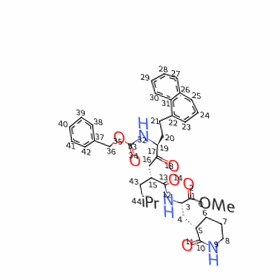 COC(=O)[C@H](C[C@@H]1CCCNC1=O)NC(=O)[C@@H](CC(=O)[C@H](CCc1cccc2ccccc12)NC(=O)OCc1ccccc1)CC(C)C